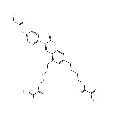 C=C(C)C(=O)OCCCCc1cc(CCCCOC(=O)C(=C)C)c2cc(-c3ccc(OC(=O)CC)cc3)c(=O)oc2c1